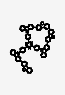 c1ccc2c(c1)oc1cc(-c3ccc4c5ccccc5n(-c5ccc(-c6nc(-c7ccc(-n8c9ccccc9c9ccc(-c%10ccc%11c(c%10)oc%10ccccc%10%11)cc98)cc7)nc(-c7ccc(-n8c9ccccc9c9ccc(-c%10ccc%11c(c%10)oc%10ccccc%10%11)cc98)cc7)n6)cc5)c4c3)ccc12